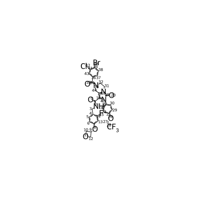 O=C(NCc1ccc(OC2COC2)cc1F)c1c2n(c(=O)n1-c1ccc(OCC(F)(F)F)cc1)CCN(C(=O)c1ccc(Br)c(Cl)c1)C2